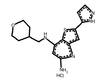 Cl.Nc1cc(NCC2CCOCC2)c2sc(-c3ccn[nH]3)cc2n1